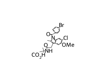 COc1cc2c(CC(=O)NC(C)(C)C(=O)O)c(C)n(C(=O)c3ccc(Br)cc3)c2cc1Cl